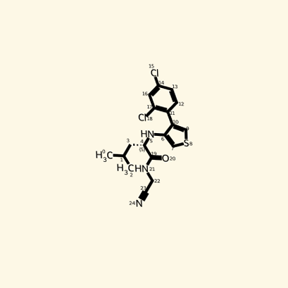 CC(C)C[C@H](Nc1cscc1-c1ccc(Cl)cc1Cl)C(=O)NCC#N